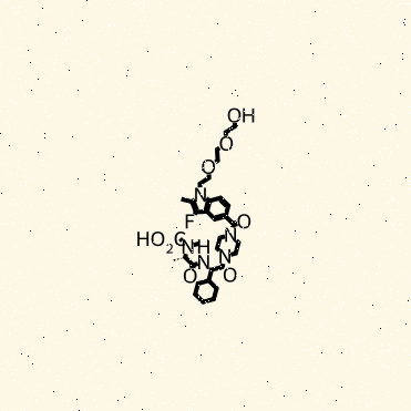 Cc1c(F)c2cc(C(=O)N3CCN(C(=O)[C@@H](NC(=O)[C@H](C)N(C)C(=O)O)C4CCCCC4)CC3)ccc2n1CCOCCOCCO